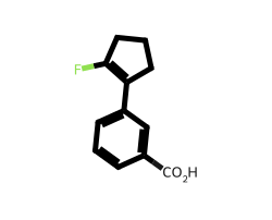 O=C(O)c1cccc(C2=C(F)CCC2)c1